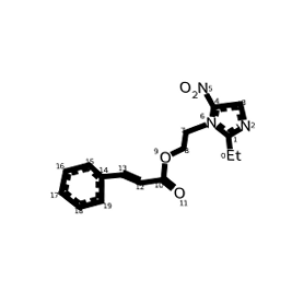 CCc1ncc([N+](=O)[O-])n1CCOC(=O)C=Cc1ccccc1